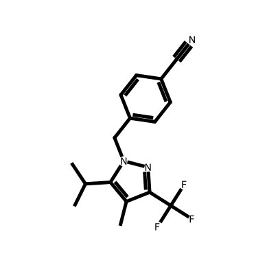 Cc1c(C(F)(F)F)nn(Cc2ccc(C#N)cc2)c1C(C)C